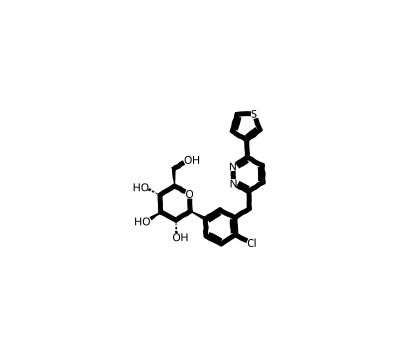 OC[C@H]1O[C@@H](c2ccc(Cl)c(Cc3ccc(-c4ccsc4)nn3)c2)[C@H](O)[C@@H](O)[C@@H]1O